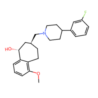 COc1cccc2c1CC[C@H](CN1CCC(c3cccc(F)c3)CC1)C[C@H]2O